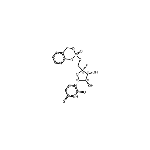 O=c1[nH]c(=S)ccn1[C@@H]1O[C@](F)(COP2(=O)OCc3ccccc3O2)[C@@H](O)[C@H]1O